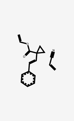 C=CC#N.C=COC(=O)C1(C=Cc2ccccc2)CC1